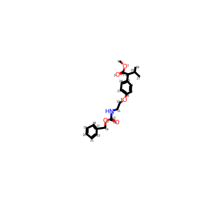 COC(=O)C(c1ccc(OCCNC(=O)OCc2ccccc2)cc1)C(C)C